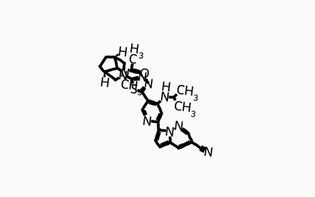 CC(=O)N(C)C1[C@@H]2CC[C@H]1CN(c1nnc(-c3cnc(-c4ccc5cc(C#N)cnn45)cc3NC(C)C)s1)C2